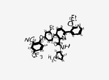 CCOc1ncccc1-c1ccc(N2CC[C@@H](Oc3ccc(C(F)(F)F)cc3C#N)C[C@H]2CC)c(C(=O)N[C@@H]2CCN(C)C2)n1